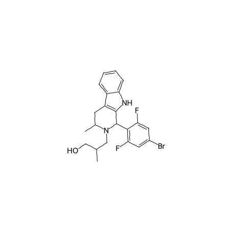 CC(CO)CN1C(C)Cc2c([nH]c3ccccc23)C1c1c(F)cc(Br)cc1F